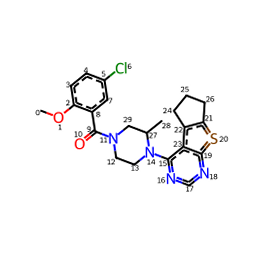 COc1ccc(Cl)cc1C(=O)N1CCN(c2ncnc3sc4c(c23)CCC4)C(C)C1